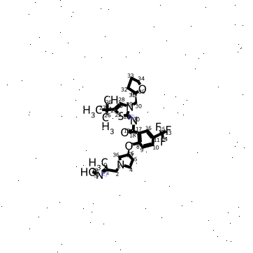 C/C(CN1CC[C@H](Oc2ccc(C(F)(F)F)cc2C(=O)/N=c2\sc(C(C)(C)C)cn2C[C@H]2CCCO2)C1)=N\O